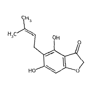 CC(C)=CCc1c(O)cc2c(c1O)C(=O)CO2